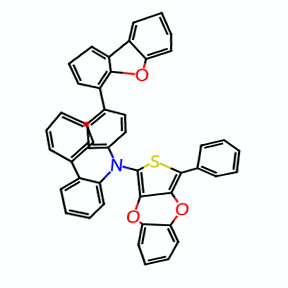 c1ccc(-c2ccccc2N(c2ccc(-c3cccc4c3oc3ccccc34)cc2)c2sc(-c3ccccc3)c3c2Oc2ccccc2O3)cc1